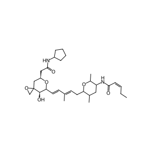 CC/C=C\C(=O)NC1CC(C)C(C/C=C(C)/C=C/C2O[C@H](CC(=O)NC3CCCC3)CC3(CO3)[C@@H]2O)OC1C